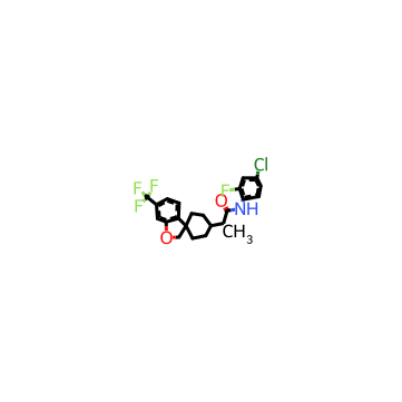 CC(C(=O)Nc1ccc(Cl)cc1F)C1CCC2(CC1)COc1cc(C(F)(F)F)ccc12